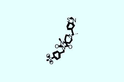 C[C@@H](c1ccc2scnc2c1)N1CCC2(CC1)C(=O)N(Cc1ccc(S(C)(=O)=O)cc1)C(=O)N2C